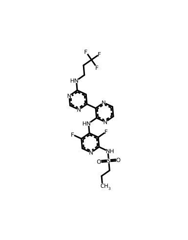 CCCS(=O)(=O)Nc1ncc(F)c(Nc2nccnc2-c2cc(NCCC(F)(F)F)ncn2)c1F